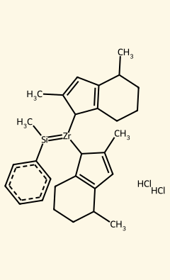 CC1=CC2=C(CCCC2C)[CH]1[Zr]([CH]1C(C)=CC2=C1CCCC2C)=[Si](C)c1ccccc1.Cl.Cl